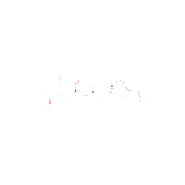 C=Cc1ccc(CC(=O)NC(CCC(N)=O)C(=O)O)[nH]1